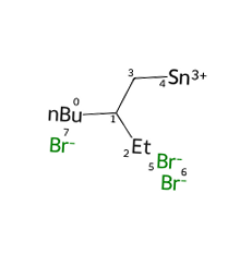 CCCCC(CC)[CH2][Sn+3].[Br-].[Br-].[Br-]